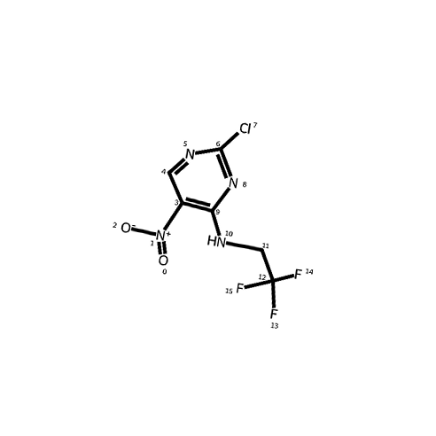 O=[N+]([O-])c1cnc(Cl)nc1NCC(F)(F)F